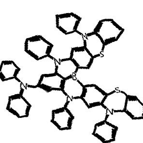 c1ccc(N(c2ccccc2)c2cc3c4c(c2)N(c2ccccc2)c2cc5c(cc2B4c2cc4c(cc2N3c2ccccc2)N(c2ccccc2)c2ccccc2S4)Sc2ccccc2N5c2ccccc2)cc1